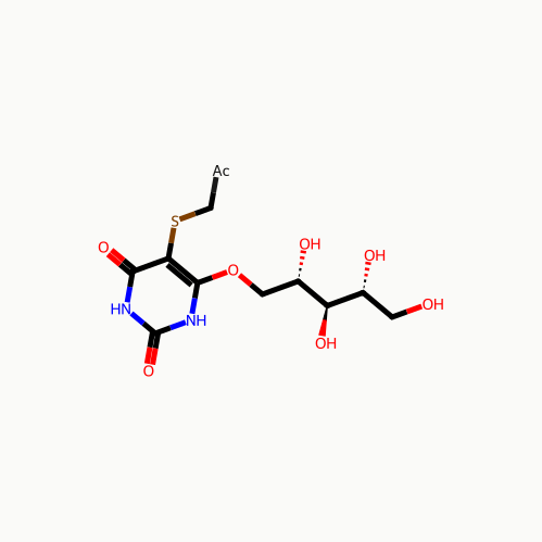 CC(=O)CSc1c(OC[C@H](O)[C@H](O)[C@H](O)CO)[nH]c(=O)[nH]c1=O